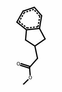 COC(=O)CC1Cc2ccccc2C1